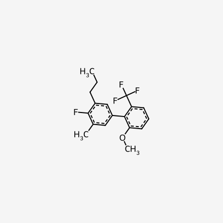 CCCc1cc(-c2c(OC)cccc2C(F)(F)F)cc(C)c1F